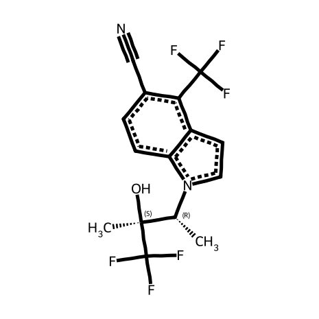 C[C@@H](n1ccc2c(C(F)(F)F)c(C#N)ccc21)[C@](C)(O)C(F)(F)F